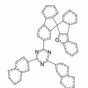 c1ccc2c(c1)-c1ccc(-c3nc(-c4ccc5ccccc5c4)nc(-c4ccc5ccccc5c4)n3)cc1C21c2ccccc2-c2c1oc1ccccc21